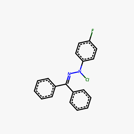 Fc1ccc(N(Cl)N=C(c2ccccc2)c2ccccc2)cc1